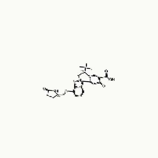 CC(C)(C)[C@@H]1Cn2nc3c(OC[C@H]4CCC(=O)N4)cccc3c2-c2cc(=O)c(C(=O)O)cn21